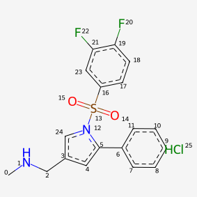 CNCc1cc(-c2ccccc2)n(S(=O)(=O)c2ccc(F)c(F)c2)c1.Cl